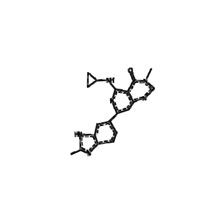 Cc1nc2ccc(-c3cc4ncn(C)c(=O)c4c(NC4CC4)n3)cc2[nH]1